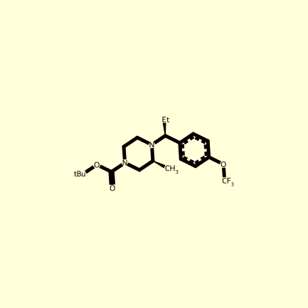 CC[C@@H](c1ccc(OC(F)(F)F)cc1)N1CCN(C(=O)OC(C)(C)C)C[C@@H]1C